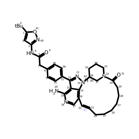 CC(C)(C)c1cc(NC(=O)Cc2ccc(-c3nn4c5c(cnc(N)c35)/C=C/CCCCCCC(=O)N3CCC[C@@H]4C3)cc2)no1